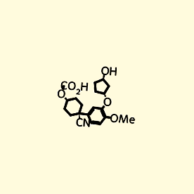 COc1ccc([C@]2(C#N)CC[C@H](OC(=O)O)CC2)cc1O[C@@H]1CC[C@@H](O)C1